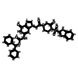 O=C(Nc1nc2c(ncn2CC(=O)N2CCN(S(=O)(=O)c3nc4ccccc4s3)C(=O)C2)c(=O)[nH]1)OC(c1ccccc1)c1ccccc1